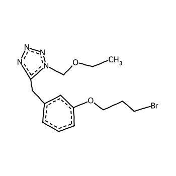 CCOCn1nnnc1Cc1cccc(OCCCBr)c1